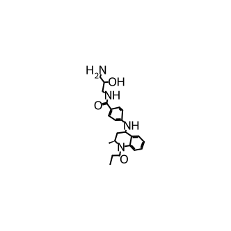 CCC(=O)N1c2ccccc2[C@H](Nc2ccc(C(=O)NCC(O)CN)cc2)C[C@@H]1C